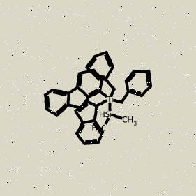 C[SiH](C)[Ti]([CH2]c1ccccc1)([CH2]c1ccccc1)([c]1cccc2c1Cc1ccccc1-2)[CH]1C=Cc2ccccc21